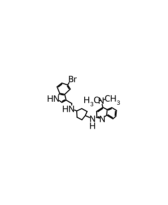 CN(C)c1cc(NC2CCC(NCc3c[nH]c4ccc(Br)cc34)CC2)nc2ccccc12